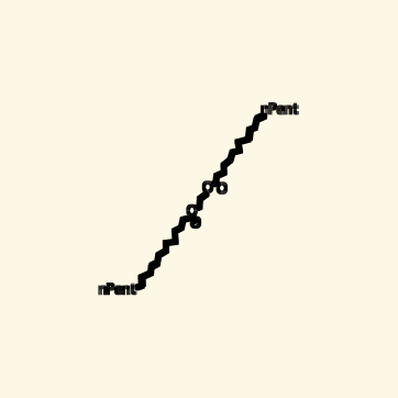 CCCCC/C=C/C/C=C/CCCCCCCC(=O)OCCCOC(=O)CCCCCCC/C=C/C/C=C/CCCCC